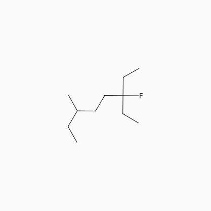 CCC(C)CCC(F)(CC)CC